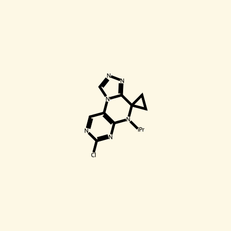 CC(C)N1c2nc(Cl)ncc2-n2cnnc2C12CC2